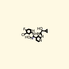 O/N=C(\Nc1ccc(F)c(Cl)c1)c1ccnc2nc(C(O)C3CC3)[nH]c12